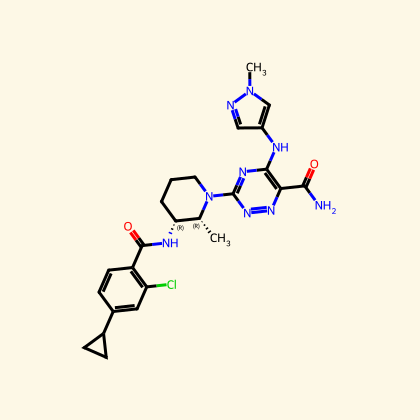 C[C@@H]1[C@H](NC(=O)c2ccc(C3CC3)cc2Cl)CCCN1c1nnc(C(N)=O)c(Nc2cnn(C)c2)n1